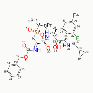 CCCC(CCC)S(=O)(=O)CC(NC(=O)OCc1ccccc1)C(=O)N[C@@H](Cc1cc(F)cc(F)c1)[C@H](O)CNCC1CC1